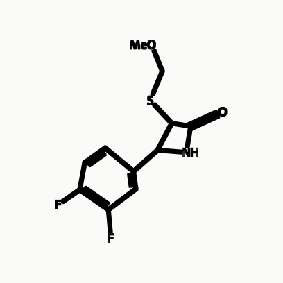 COCSC1C(=O)NC1c1ccc(F)c(F)c1